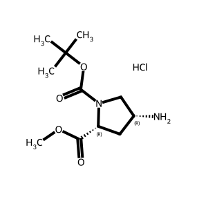 COC(=O)[C@H]1C[C@@H](N)CN1C(=O)OC(C)(C)C.Cl